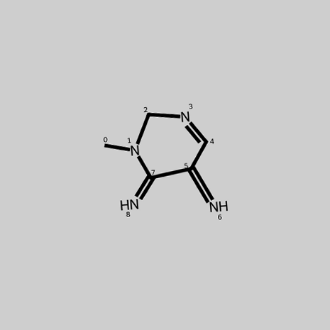 CN1CN=CC(=N)C1=N